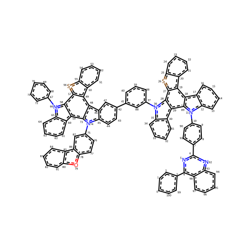 c1ccc(-c2nc(-c3ccc(-n4c5ccccc5c5c6c7ccccc7sc6c6c(c7ccccc7n6-c6cccc(-c7ccc8c(c7)c7c9c%10ccccc%10sc9c9c(c%10ccccc%10n9-c9ccccc9)c7n8-c7ccc8oc9ccccc9c8c7)c6)c54)cc3)nc3ccccc23)cc1